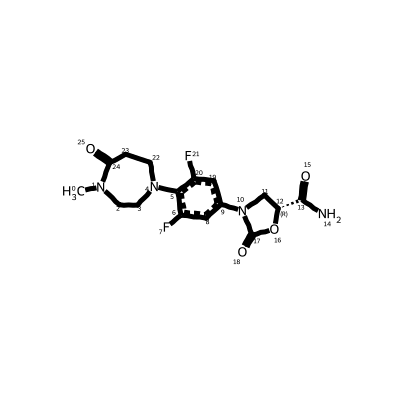 CN1CCN(c2c(F)cc(N3C[C@H](C(N)=O)OC3=O)cc2F)CCC1=O